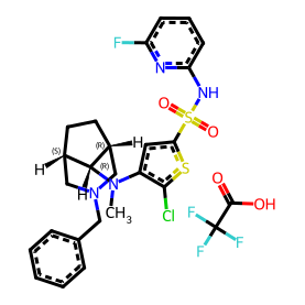 CN(c1cc(S(=O)(=O)Nc2cccc(F)n2)sc1Cl)[C@H]1[C@@H]2CC[C@H]1CN(Cc1ccccc1)C2.O=C(O)C(F)(F)F